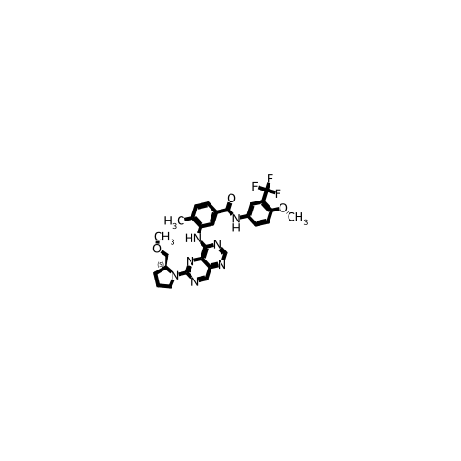 COC[C@@H]1CCCN1c1ncc2ncnc(Nc3cc(C(=O)Nc4ccc(OC)c(C(F)(F)F)c4)ccc3C)c2n1